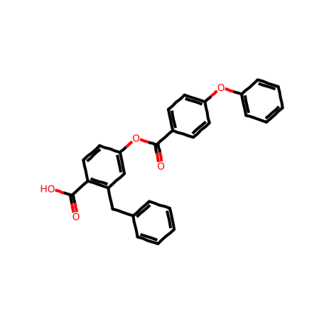 O=C(Oc1ccc(C(=O)O)c(Cc2ccccc2)c1)c1ccc(Oc2ccccc2)cc1